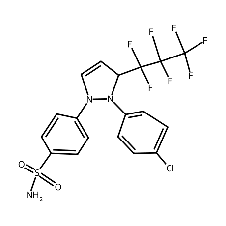 NS(=O)(=O)c1ccc(N2C=CC(C(F)(F)C(F)(F)C(F)(F)F)N2c2ccc(Cl)cc2)cc1